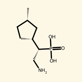 C[C@H]1CC[C@@H]([C@@H](CN)P(=O)(O)O)C1